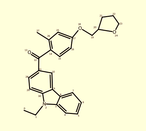 CCn1c2ccccc2c2cc(C(=O)c3ccc(OCC4CCCO4)cc3C)ccc21